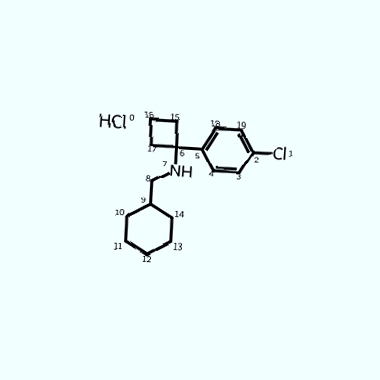 Cl.Clc1ccc(C2(NCC3CCCCC3)CCC2)cc1